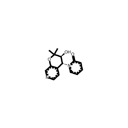 CC1(C)Oc2cnccc2[C@@H](n2ccccc2=O)[C@@H]1O